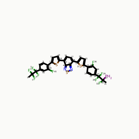 CC(F)(F)C(F)(F)c1ccc(-c2ccc(-c3ccc(-c4ccc(-c5ccc(C(F)(F)C(C)(F)P)cc5F)s4)c4nsnc34)s2)c(F)c1